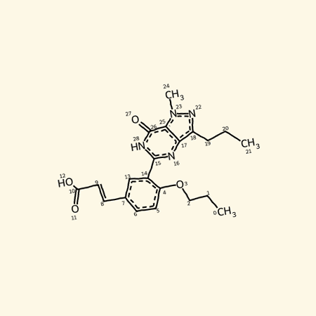 CCCOc1ccc(C=CC(=O)O)cc1-c1nc2c(CCC)nn(C)c2c(=O)[nH]1